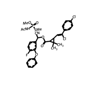 CC1(C)C(/C=C(\Cl)c2ccc(Cl)cc2)C1C(=O)OC(C#N)c1ccc(F)c(Oc2ccccc2)c1.COP(=O)(NC(C)=O)SC